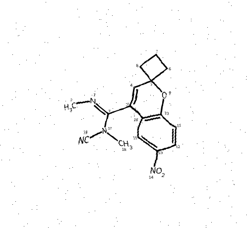 CN=C(C1=CC2(CCC2)Oc2ccc([N+](=O)[O-])cc21)N(C)C#N